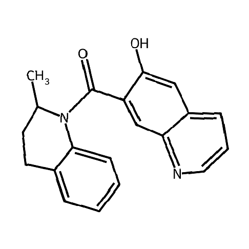 CC1CCc2ccccc2N1C(=O)c1cc2ncccc2cc1O